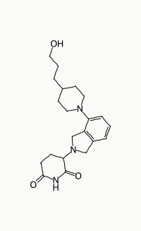 O=C1CCC(N2Cc3cccc(N4CCC(CCCO)CC4)c3C2)C(=O)N1